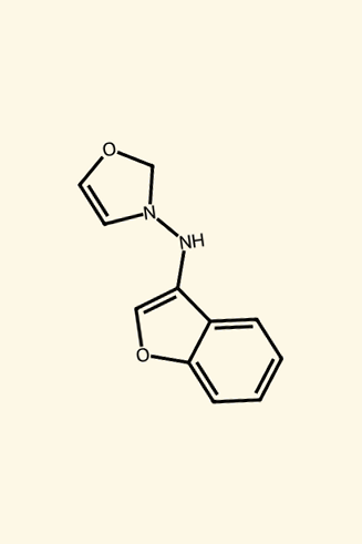 C1=CN(Nc2coc3ccccc23)CO1